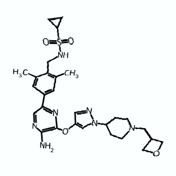 Cc1cc(-c2cnc(N)c(Oc3cnn(C4CCN(CC5COC5)CC4)c3)n2)cc(C)c1CNS(=O)(=O)C1CC1